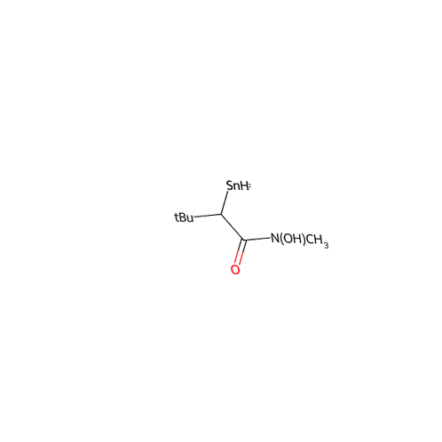 CN(O)C(=O)[CH]([SnH])C(C)(C)C